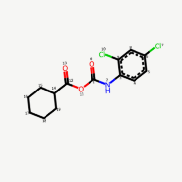 O=C(Nc1ccc(Cl)cc1Cl)OC(=O)C1CCCCC1